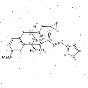 COc1ccc2c(c1)[C@@]1(C)CCN(CC3CC3)[C@H](C2)[C@H]1N(C)C(=O)/C=C/c1ccoc1